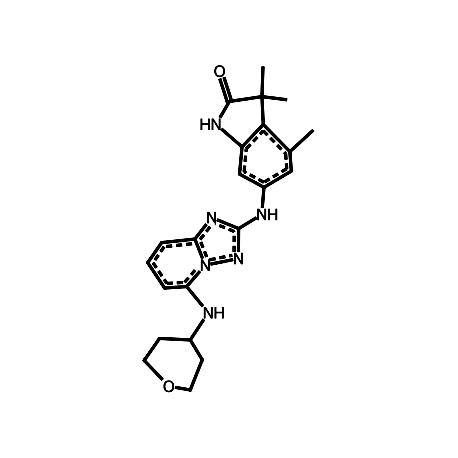 Cc1cc(Nc2nc3cccc(NC4CCOCC4)n3n2)cc2c1C(C)(C)C(=O)N2